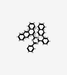 c1ccc(-c2nc(-c3ccccc3-c3ccc4ccccc4c3)nc(-c3cc4ccccc4c4cc5ccccc5cc34)n2)cc1